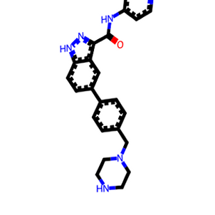 O=C(Nc1ccncc1)c1n[nH]c2ccc(-c3ccc(CN4CCNCC4)cc3)cc12